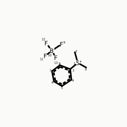 C[S+](C)c1ccccc1.F[B-](F)(F)F